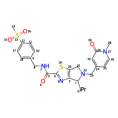 CC(C)C1c2nc(C(=O)NCc3ccc(S(C)(=O)=O)cc3)sc2CN1Cc1ccn(C)c(=O)c1